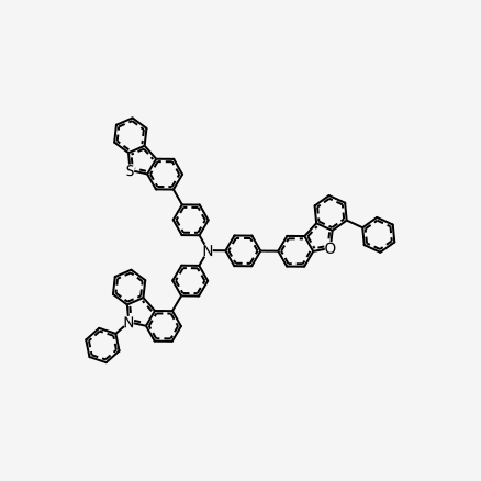 c1ccc(-c2cccc3c2oc2ccc(-c4ccc(N(c5ccc(-c6ccc7c(c6)sc6ccccc67)cc5)c5ccc(-c6cccc7c6c6ccccc6n7-c6ccccc6)cc5)cc4)cc23)cc1